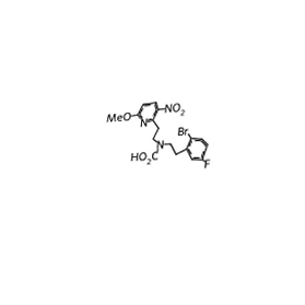 COc1ccc([N+](=O)[O-])c(CCN(CCc2cc(F)ccc2Br)C(=O)O)n1